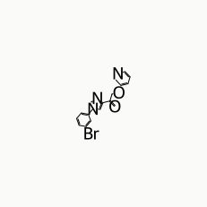 O=C(COc1cccnc1)c1cn(-c2cccc(Br)c2)cn1